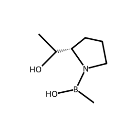 CB(O)N1CCC[C@H]1C(C)O